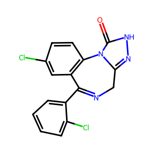 O=c1[nH]nc2n1-c1ccc(Cl)cc1C(c1ccccc1Cl)=NC2